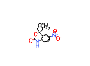 CCC1(CC)OC(=O)Nc2ccc([N+](=O)[O-])cc21